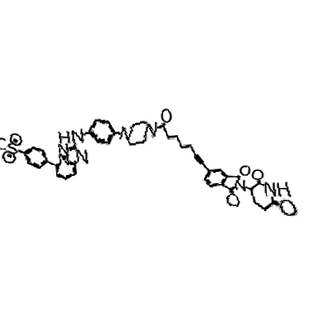 CS(=O)(=O)c1ccc(-c2cccc3nc(Nc4ccc(N5CCN(C(=O)CCCCC#Cc6ccc7c(c6)C(=O)N(C6CCC(=O)NC6=O)C7=O)CC5)cc4)nn23)cc1